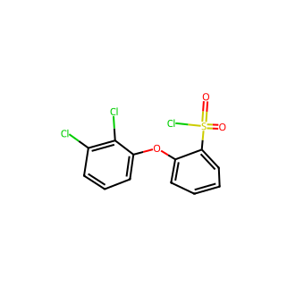 O=S(=O)(Cl)c1ccccc1Oc1cccc(Cl)c1Cl